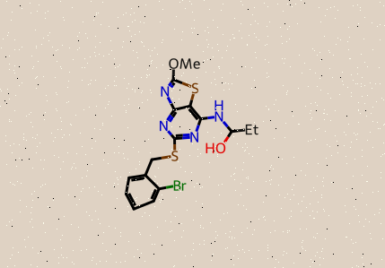 CCC(O)Nc1nc(SCc2ccccc2Br)nc2nc(OC)sc12